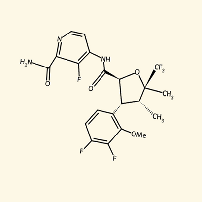 COc1c([C@@H]2[C@@H](C(=O)Nc3ccnc(C(N)=O)c3F)O[C@@](C)(C(F)(F)F)[C@@H]2C)ccc(F)c1F